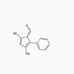 N#CC1=CC(C#N)=C(c2ccccc2)S1=S=O